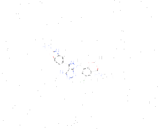 CCNC(=O)c1c(C)c(Cl)cc(C(C)n2nc(-c3ccc4oc(N)nc4c3)c3c(N)ncnc32)c1OCC